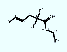 C/C=C/CC(F)(F)C(=O)NCC(C)C